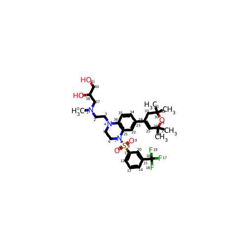 CN(CCN1CCN(S(=O)(=O)c2cccc(C(F)(F)F)c2)c2cc(C3=CC(C)(C)OC(C)(C)C3)ccc21)CC(O)CO